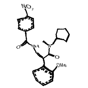 COc1ccccc1C(=CNC(=O)c1ccc([N+](=O)[O-])cc1)C(=O)N(C)C1CCCC1